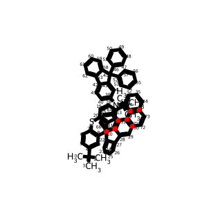 CC(C)(C)c1ccc2c(c1)C1(c3cc(C(C)(C)C)ccc3S2)c2ccccc2-c2ccc(-c3ccccc3N(c3ccc4c(c3)C(c3ccccc3)(c3ccccc3)c3ccccc3-4)c3ccccc3-c3ccccc3)cc21